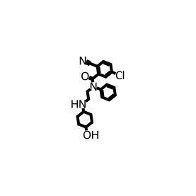 N#Cc1ccc(Cl)cc1C(=O)N(CCNC1CCC(O)CC1)c1ccccc1